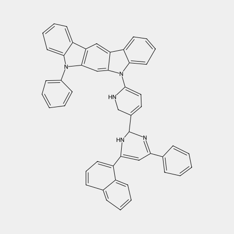 C1=C(c2cccc3ccccc23)NC(C2=CC=C(n3c4ccccc4c4cc5c6ccccc6n(-c6ccccc6)c5cc43)NC2)N=C1c1ccccc1